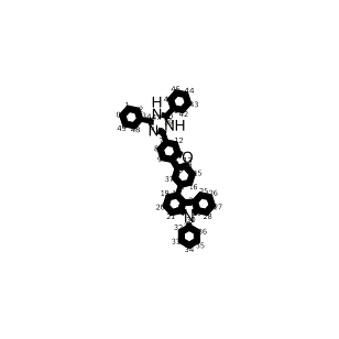 c1ccc(C2N=C(c3ccc4c(c3)oc3ccc(-c5cccc6c5c5ccccc5n6-c5ccccc5)cc34)NC(c3ccccc3)N2)cc1